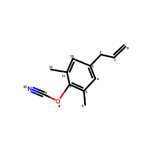 C=CCc1cc(C)c(OC#N)c(C)c1